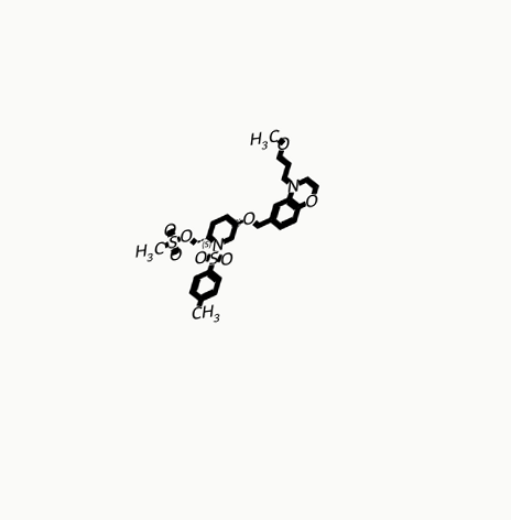 COCCCN1CCOc2ccc(CO[C@@H]3CC[C@@H](COS(C)(=O)=O)N(S(=O)(=O)c4ccc(C)cc4)C3)cc21